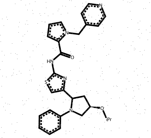 CC(C)O[C@@H]1CC(c2csc(NC(=O)c3cccn3Cc3ccncc3)n2)N(c2ccccc2)C1